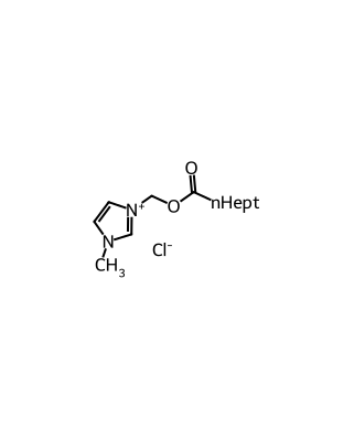 CCCCCCCC(=O)OC[n+]1ccn(C)c1.[Cl-]